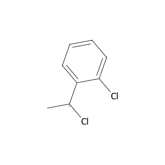 C[C](Cl)c1ccccc1Cl